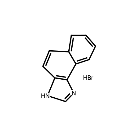 Br.c1ccc2c(c1)ccc1[nH]cnc12